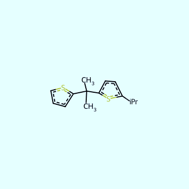 CC(C)c1ccc(C(C)(C)c2cccs2)s1